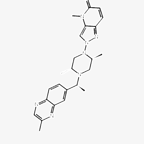 Cc1cnc2ccc([C@H](C)N3C[C@H](C)N(n4cc5c(ccc(=O)n5C)n4)C[C@H]3C)cc2n1